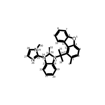 Cc1ccc2oc3ccccc3c2c1C(C)(C)N1c2ccccc2N(c2nccn2C)[C@H]1C